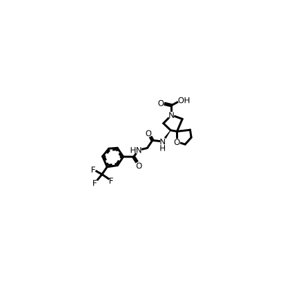 O=C(CNC(=O)c1cccc(C(F)(F)F)c1)N[C@H]1CN(C(=O)O)CC12CCCO2